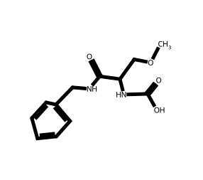 COCC(NC(=O)O)C(=O)NCc1ccccc1